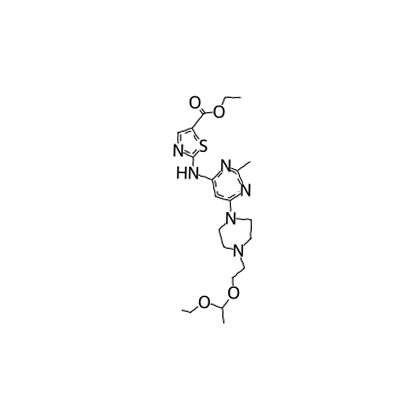 CCOC(=O)c1cnc(Nc2cc(N3CCN(CCOC(C)OCC)CC3)nc(C)n2)s1